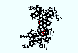 Cc1cc2c3c(c1)N(c1ccccc1)c1c(oc4ccc(C(C)(C)C)cc14)B3c1cc3c(cc1N2c1ccccc1-c1cccc(CC2(C)CCC(C)(C)c4cc5c(cc42)B2c4oc6ccc(C(C)(C)C)cc6c4N(c4ccc(C(C)(C)C)cc4)c4cc(C)cc(c42)N5c2ccccc2-c2ccccc2)c1)C(C)(C)CCC3(C)C